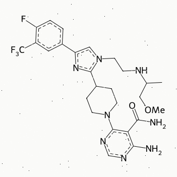 COCC(C)NCCn1cc(-c2ccc(F)c(C(F)(F)F)c2)nc1C1CCN(c2ncnc(N)c2C(N)=O)CC1